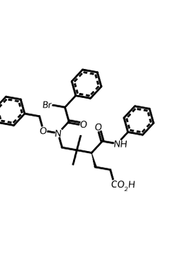 CC(C)(CN(OCc1ccccc1)C(=O)C(Br)c1ccccc1)[C@H](CCC(=O)O)C(=O)Nc1ccccc1